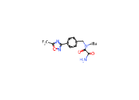 CCC(C)N(Cc1ccc(-c2noc(C(F)(F)F)n2)cc1)C(=O)C(N)=O